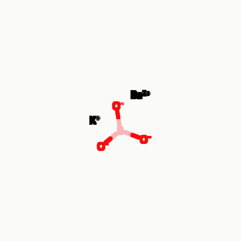 [Ba+2].[K+].[O-]B([O-])[O-]